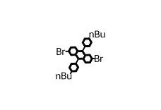 CCCCc1ccc(-c2c3ccc(Br)cc3c(-c3ccc(CCCC)cc3)c3ccc(Br)cc23)cc1